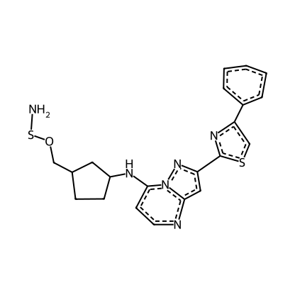 NSOCC1CCC(Nc2ccnc3cc(-c4nc(-c5ccccc5)cs4)nn23)C1